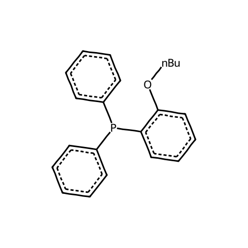 CCCCOc1ccccc1P(c1ccccc1)c1ccccc1